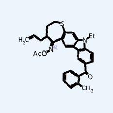 C=CCC1CCSc2cc3c(cc2/C1=N/OC(C)=O)c1cc(C(=O)c2ccccc2C)ccc1n3CC